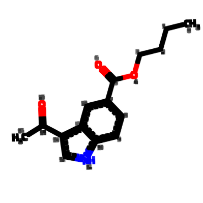 CCCCOC(=O)c1ccc2[nH]cc(C(C)=O)c2c1